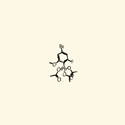 COc1cc(Br)cc(F)[c]1[Pb]([O]C(C)=O)([O]C(C)=O)[O]C(C)=O